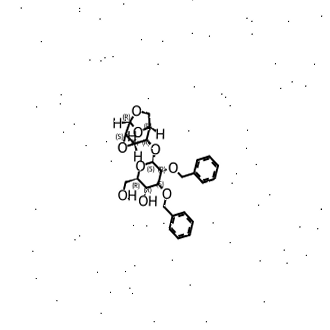 OC[C@H]1O[C@@H](O[C@H]2[C@@H]3O[C@@H]3[C@@H]3OC[C@H]2O3)[C@H](OCc2ccccc2)[C@@H](OCc2ccccc2)[C@@H]1O